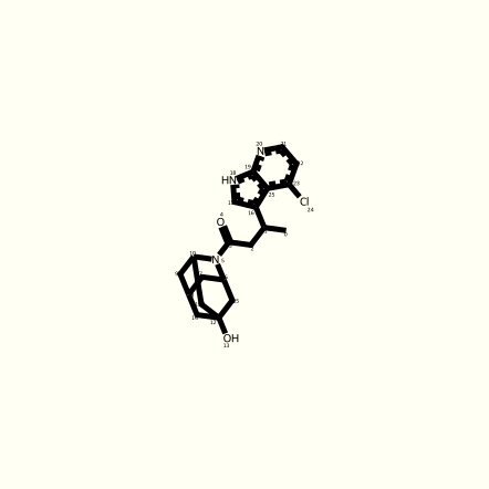 CC(CC(=O)N1C2CC3CC1CC(O)(C3)C2)c1c[nH]c2nccc(Cl)c12